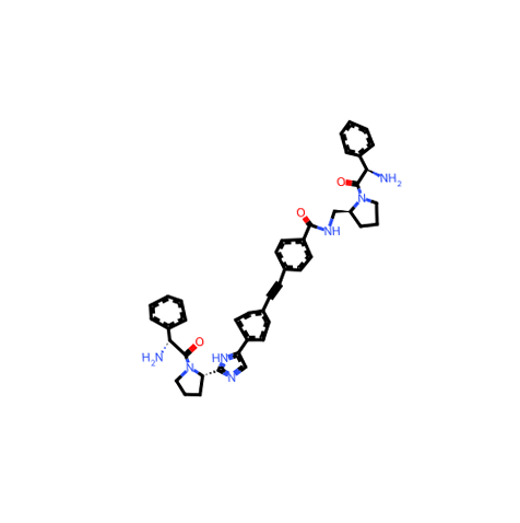 N[C@@H](C(=O)N1CCC[C@H]1CNC(=O)c1ccc(C#Cc2ccc(-c3cnc([C@@H]4CCCN4C(=O)[C@H](N)c4ccccc4)[nH]3)cc2)cc1)c1ccccc1